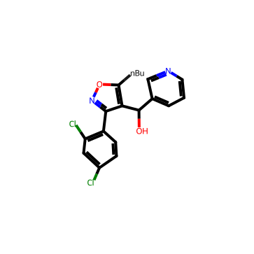 CCCCc1onc(-c2ccc(Cl)cc2Cl)c1C(O)c1cccnc1